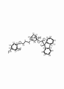 CC1(C(=O)O[C@H]2C[N+]3(CCCOc4ccc(F)cc4F)CCC2CC3)c2ccccc2-c2ccccc21